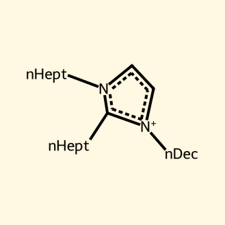 CCCCCCCCCC[n+]1ccn(CCCCCCC)c1CCCCCCC